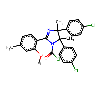 CCOc1cc(C(F)(F)F)ccc1C1=NC(C)(c2ccc(Cl)cc2)C(C)(c2ccc(Cl)cc2)N1C(=O)Cl